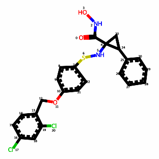 O=C(NO)C1(NSc2ccc(OCc3ccc(Cl)cc3Cl)cc2)CC1c1ccccc1